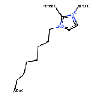 CCCCCCCCCCCCCCCCCn1cc[n+](CCCCC)c1CCCCC